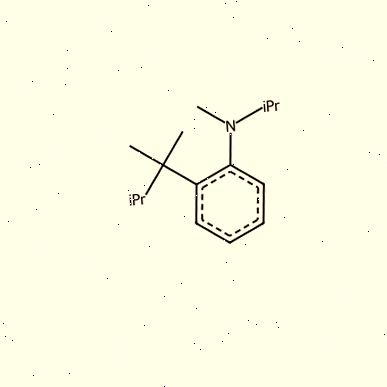 CC(C)N(C)c1ccccc1C(C)(C)C(C)C